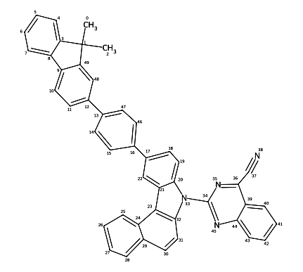 CC1(C)c2ccccc2-c2ccc(-c3ccc(-c4ccc5c(c4)c4c6ccccc6ccc4n5-c4nc(C#N)c5ccccc5n4)cc3)cc21